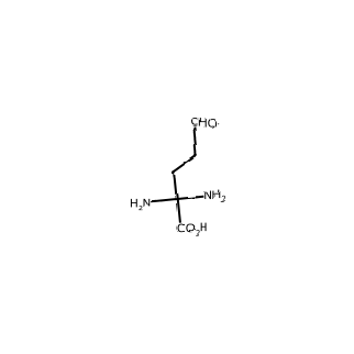 NC(N)(CC[C]=O)C(=O)O